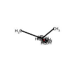 CCCCCCCCCCCCCCCCCCCCCCCCC(O)C(=O)N[C@@H](COP(=O)(O)OC1C(O)C(O)C(O)[C@@H](O)C1O)[C@H](O)[C@H](O)CCCCCCCCCCCCCCCC